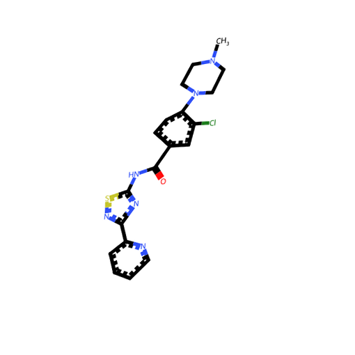 CN1CCN(c2ccc(C(=O)Nc3nc(-c4ccccn4)ns3)cc2Cl)CC1